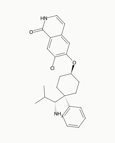 CC(C)[C@@H](N)[C@]1(c2ccccc2)CC[C@H](Oc2cc3cc[nH]c(=O)c3cc2Cl)CC1